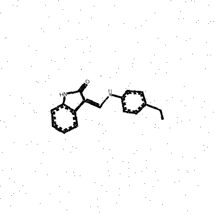 CCc1ccc(NC=C2C(=O)Nc3ccccc32)cc1